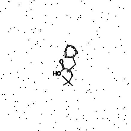 CC(C)(C)C[C@H](Cc1ccccc1)C(=O)O